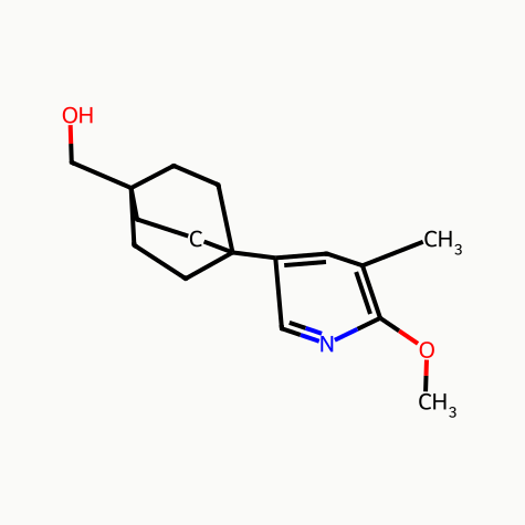 COc1ncc(C23CCC(CO)(CC2)CC3)cc1C